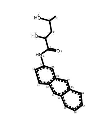 CC(O)CC(O)C(=O)Nc1ccc2cc3ccccc3cc2c1